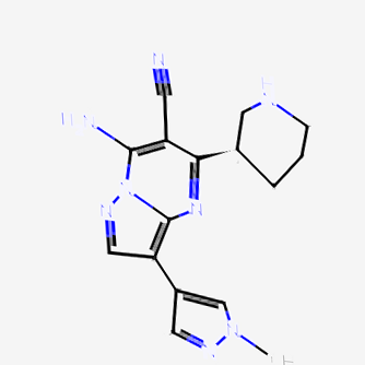 Cn1cc(-c2cnn3c(N)c(C#N)c([C@@H]4CCCNC4)nc23)cn1